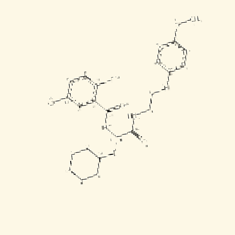 COc1ccc(NCCNC(=O)[C@H](CC2CCCCC2)NC(=O)c2cc(Cl)ccc2F)cc1